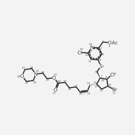 CC(=O)OCc1cc(SC[C@H]2C(Cl)C(Br)C[C@@H]2C/C=C\CCCC(=O)OCCN2CCOCC2)cc(Cl)n1